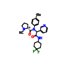 CC(C)(C)c1ccc(N(C(=O)[C@H]2CCCN2C#N)C(C(=O)NC2CCC(F)(F)CC2)c2cccnc2)cc1